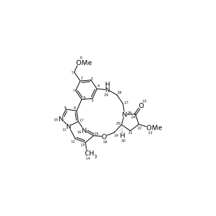 COCc1cc2cc(c1)-c1cnn3cc(C)c(nc13)OC[C@@H]1CC(OC)C(=O)N1CCN2